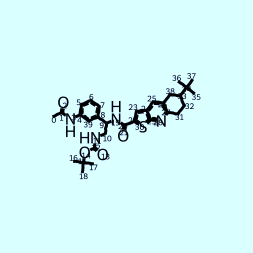 CC(=O)Nc1cccc(C(CNC(=O)OC(C)(C)C)NC(=O)c2cc3cc4c(nc3s2)CCC(C(C)(C)C)C4)c1